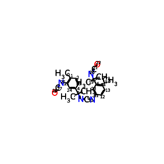 Cc1ccc(C(C)(C)N=C=Nc2ccc(C)c(C(C)(C)N=C=O)c2)cc1N=C=O